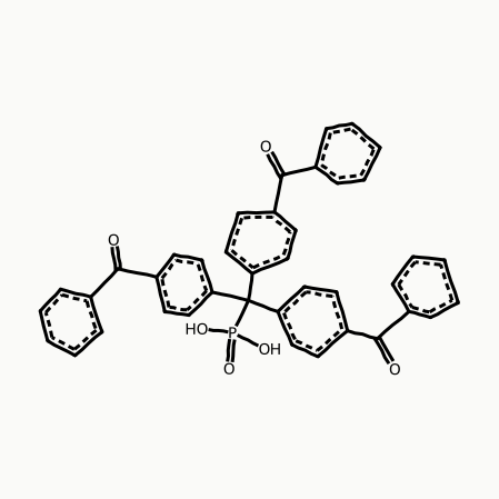 O=C(c1ccccc1)c1ccc(C(c2ccc(C(=O)c3ccccc3)cc2)(c2ccc(C(=O)c3ccccc3)cc2)P(=O)(O)O)cc1